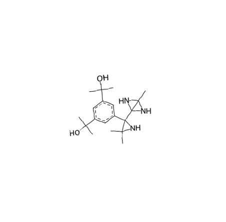 CC(C)(O)c1cc(C(C)(C)O)cc(C2(C34NC3(C)N4)NC2(C)C)c1